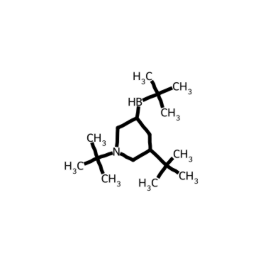 CC(C)(C)BC1CC(C(C)(C)C)CN(C(C)(C)C)C1